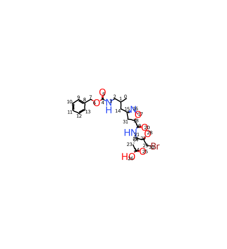 CC(CNC(=O)OCc1ccccc1)CC1=NOC(C(=O)N[C@@H](CC(=O)O)C(=O)CBr)C1